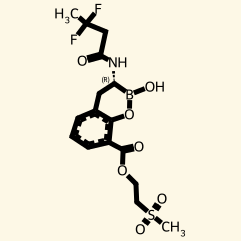 CC(F)(F)CC(=O)N[C@H]1Cc2cccc(C(=O)OCCS(C)(=O)=O)c2OB1O